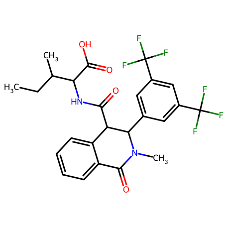 CCC(C)C(NC(=O)C1c2ccccc2C(=O)N(C)C1c1cc(C(F)(F)F)cc(C(F)(F)F)c1)C(=O)O